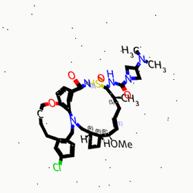 CO[C@H]1/C=C/C[C@H](C)C(NC(=O)N2CC(N(C)C)C2)/[SH](=O)=N\C(=O)c2ccc3c(c2)N(Cc2ccc(Cl)cc2CCCCO3)C[C@@H]2CC[C@H]21